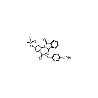 COc1ccc(COC(=O)N2CC(OS(C)(=O)=O)CC2N2C(=O)c3ccccc3C2=O)cc1